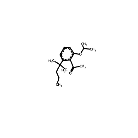 CCCC(C)(C)c1cccc(OC(C)C)c1C(C)=O